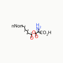 CCCCCCCCCCCCCC(=O)OC(=O)C(N)C(=O)O